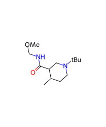 COCNC(=O)C1CN(C(C)(C)C)CCC1C